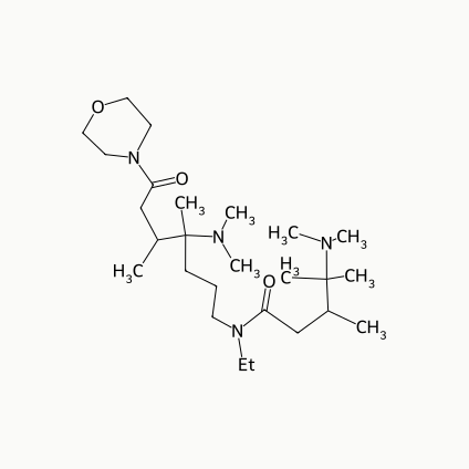 CCN(CCCC(C)(C(C)CC(=O)N1CCOCC1)N(C)C)C(=O)CC(C)C(C)(C)N(C)C